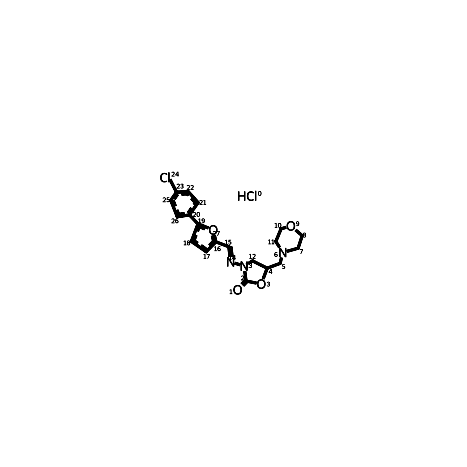 Cl.O=C1OC(CN2CCOCC2)CN1N=Cc1ccc(-c2ccc(Cl)cc2)o1